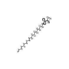 CCCCCCCCCCCCCCCCCCCCOC(=O)C(I)CC